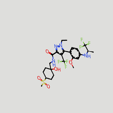 CCn1nc(C(=O)NCC2(O)CCC(S(C)(=O)=O)CC2)c(C(F)(F)F)c1-c1ccc(N[C@H](C)C(F)(F)F)cc1OC